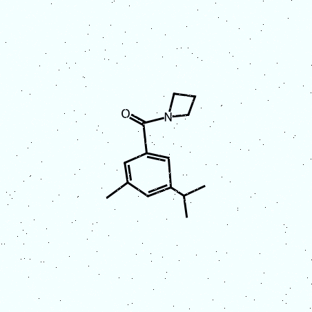 Cc1cc(C(=O)N2CCC2)cc(C(C)C)c1